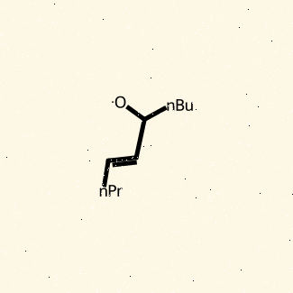 CCC/C=C/C([O])CCCC